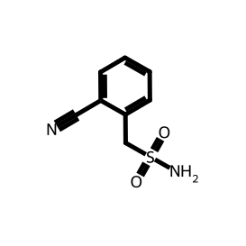 N#Cc1ccccc1CS(N)(=O)=O